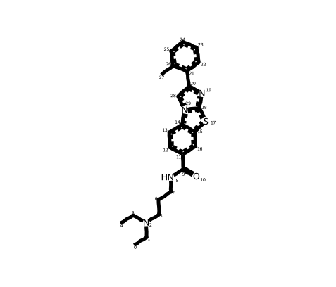 CCN(CC)CCCNC(=O)c1ccc2c(c1)sc1nc(-c3ccccc3C)cn12